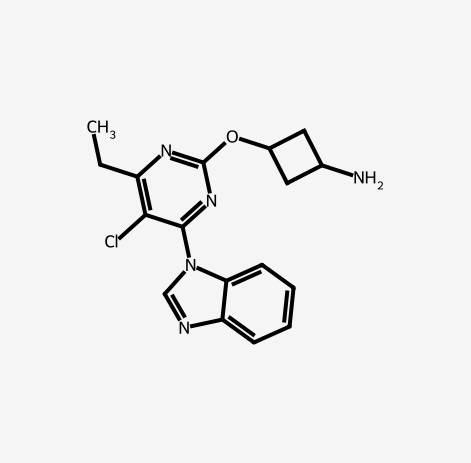 CCc1nc(OC2CC(N)C2)nc(-n2cnc3ccccc32)c1Cl